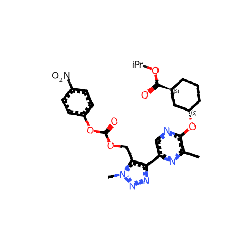 Cc1nc(-c2nnn(C)c2COC(=O)Oc2ccc([N+](=O)[O-])cc2)cnc1O[C@H]1CCC[C@H](C(=O)OC(C)C)C1